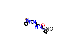 O=Nc1ccccc1/C=C/C(=O)NCC1CC1CN1CCN(c2nsc3ccccc23)CC1